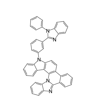 c1ccc(-n2c(-c3cccc(-n4c5ccccc5c5c4ccc4c6ccccc6c6nc7ccccc7n6c45)c3)nc3ccccc32)cc1